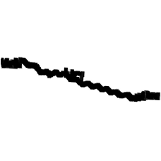 CCCCCCCCCCCCCCCCCCCCCCCCCCCCCCCCNC.Cl